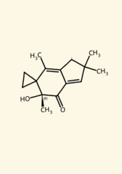 CC1=C2[CH]C(C)(C)C=C2C(=O)[C@](C)(O)C12CC2